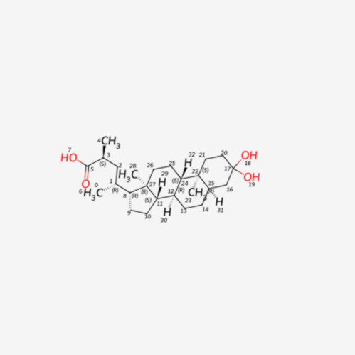 C[C@H](C[C@H](C)C(=O)O)[C@H]1CC[C@H]2[C@@H]3CC[C@@H]4CC(O)(O)CC[C@]4(C)[C@H]3CC[C@]12C